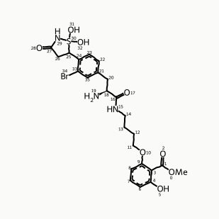 COC(=O)c1c(O)cccc1OCCCCNC(=O)[C@@H](N)Cc1ccc(C2CC(=O)NS2(O)O)c(Br)c1